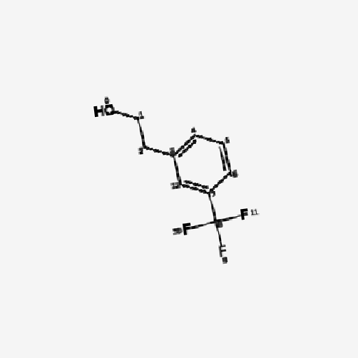 OCCc1cc[c]c(C(F)(F)F)c1